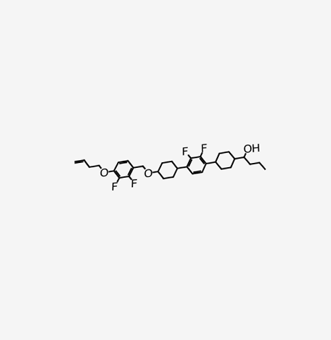 C=CCCOc1ccc(COC2CCC(c3ccc(C4CCC(C(O)CCC)CC4)c(F)c3F)CC2)c(F)c1F